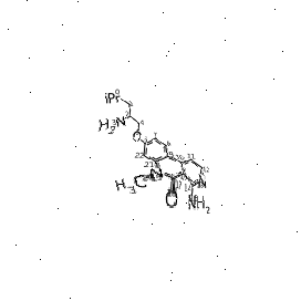 CC(C)CC(N)COc1ccc2c3ccnc(N)c3c(=O)n(C)c2c1